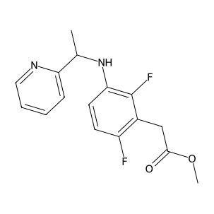 COC(=O)Cc1c(F)ccc(NC(C)c2ccccn2)c1F